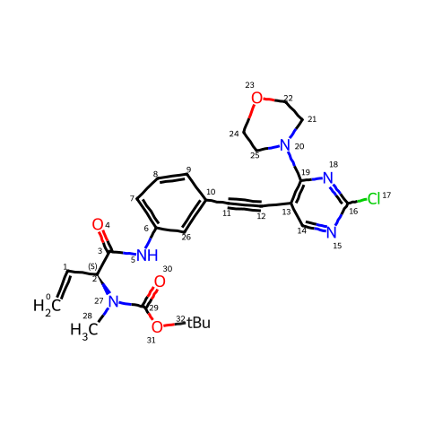 C=C[C@@H](C(=O)Nc1cccc(C#Cc2cnc(Cl)nc2N2CCOCC2)c1)N(C)C(=O)OC(C)(C)C